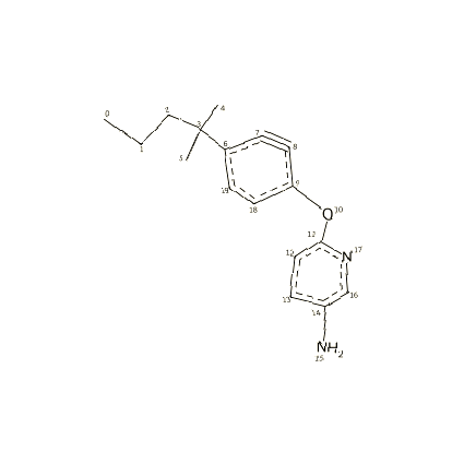 CCCC(C)(C)c1c#cc(Oc2ccc(N)cn2)cc1